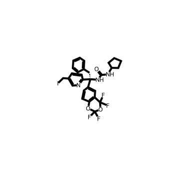 O=C(NC1CCCC1)N[C@@](Cc1ccccc1)(c1ccc2c(c1)C(F)(F)OC(F)(F)O2)c1ccc(CI)cn1